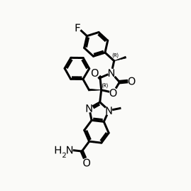 C[C@H](c1ccc(F)cc1)N1C(=O)O[C@](Cc2ccccc2)(c2nc3cc(C(N)=O)ccc3n2C)C1=O